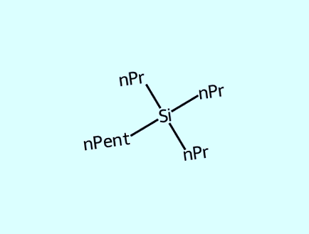 CCCCC[Si](CCC)(CCC)CCC